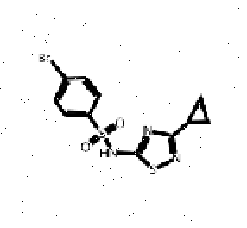 O=S(=O)(Nc1nc(C2CC2)ns1)c1ccc(Br)cc1